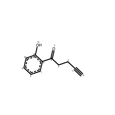 C#CCCC(=O)c1ccccc1O